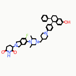 CC1CN(CC2CCN(c3ccc([C@@H]4c5ccc(O)cc5CC[C@@H]4c4ccccc4)cc3)CC2)CC(C)N1c1cc2c(cc1F)CN(C1CCC(=O)NC1=O)C2